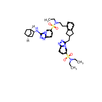 CCN(CC)S(=O)(=O)c1ccc2nnc(CC3Cc4cccc(CCN(CC)S(=O)(=O)c5ccc6nnc(N[C@@H]7C[C@H]8CC[C@@H]7C8)n6c5)c4C3)n2c1